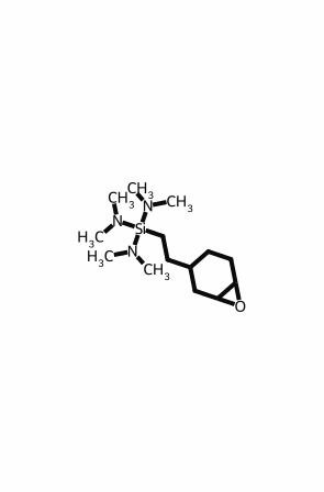 CN(C)[Si](CCC1CCC2OC2C1)(N(C)C)N(C)C